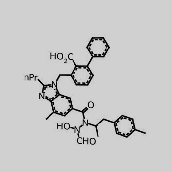 CCCc1nc2c(C)cc(C(=O)N(C(C)Cc3ccc(C)cc3)N(O)C=O)cc2n1Cc1cccc(-c2ccccc2)c1C(=O)O